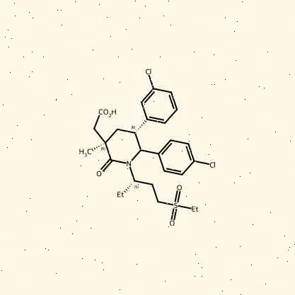 CC[C@@H](CCS(=O)(=O)CC)N1C(=O)[C@@](C)(CC(=O)O)C[C@H](c2cccc(Cl)c2)C1c1ccc(Cl)cc1